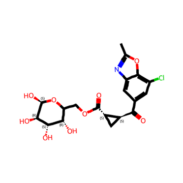 Cc1nc2cc(C(=O)[C@H]3C[C@@H]3C(=O)OCC3O[C@H](O)[C@H](O)[C@@H](O)[C@H]3O)cc(Cl)c2o1